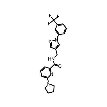 O=C(NCc1cnn(-c2cccc(C(F)(F)F)c2)c1)c1cccc(N2CCCC2)n1